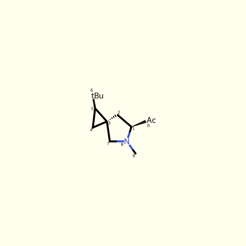 CC(=O)[C@@H]1C[C@@]2(CC2C(C)(C)C)CN1C